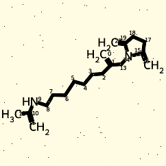 C=C(CCCCCCCNC(=C)C)CN1C(=C)CCC1=C